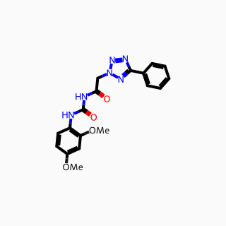 COc1ccc(NC(=O)NC(=O)Cn2nnc(-c3ccccc3)n2)c(OC)c1